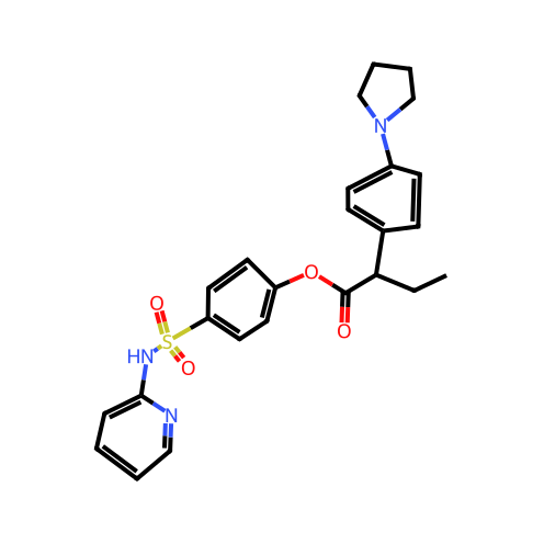 CCC(C(=O)Oc1ccc(S(=O)(=O)Nc2ccccn2)cc1)c1ccc(N2CCCC2)cc1